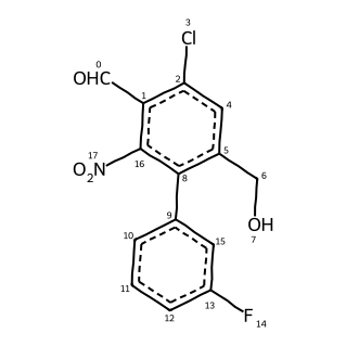 O=Cc1c(Cl)cc(CO)c(-c2cccc(F)c2)c1[N+](=O)[O-]